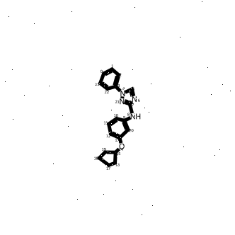 c1ccc(-n2cnc(Nc3cccc(OC4CCCC4)c3)n2)cc1